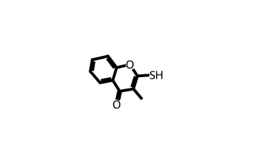 Cc1c(S)oc2ccccc2c1=O